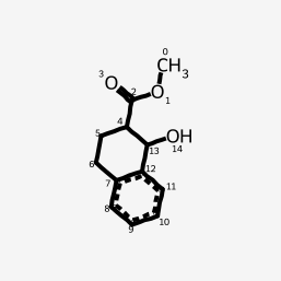 COC(=O)C1CCc2ccccc2C1O